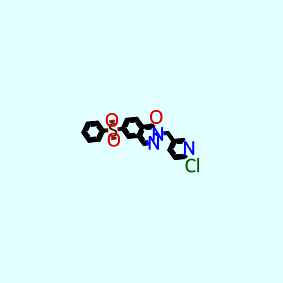 O=c1c2ccc(S(=O)(=O)c3ccccc3)cc2cnn1Cc1ccc(Cl)nc1